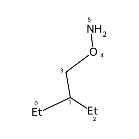 CCC(CC)CON